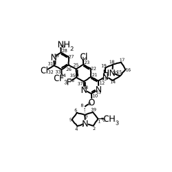 C[C@H]1CN2CCC[C@@]2(COc2nc(N3CC4CCC(C3)N4)c3cc(Cl)c(-c4cc(N)nc(Cl)c4C(F)(F)F)c(F)c3n2)C1